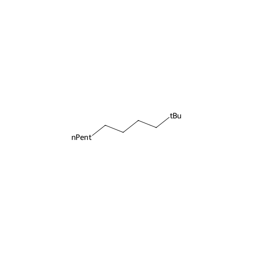 CCCCCCCCCC(C)(C)C